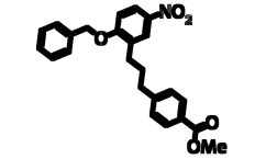 COC(=O)c1ccc(CCCc2cc([N+](=O)[O-])ccc2OCc2ccccc2)cc1